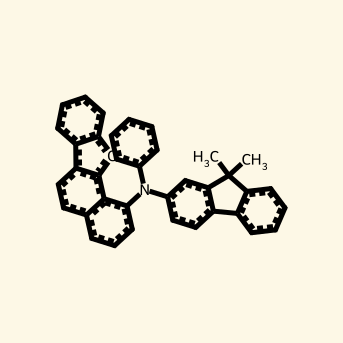 CC1(C)c2ccccc2-c2ccc(N(c3ccccc3)c3cccc4ccc5c6ccccc6oc5c34)cc21